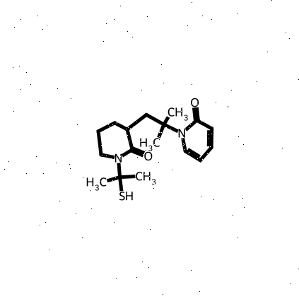 CC(C)(S)N1CCCC(CC(C)(C)n2ccccc2=O)C1=O